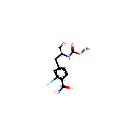 CCCCOC(=O)N[C@H](CO)Cc1ccc(C(N)=O)c(F)c1